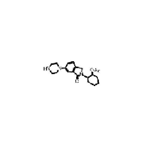 CC(=O)OC1CCCCC1N1Cc2ccc(N3CCNCC3)cc2C1=O